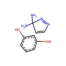 NC1(N)C=CN=N1.Oc1cccc(O)c1